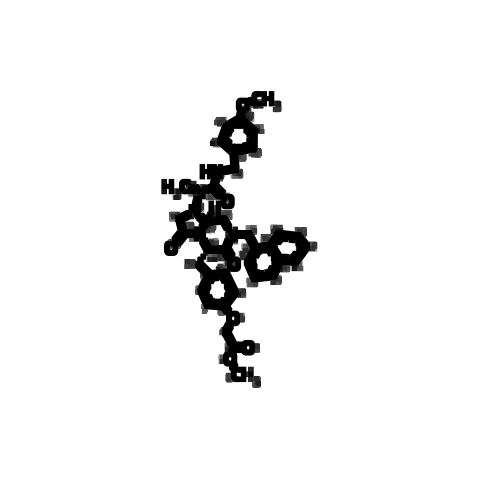 COC(=O)COc1ccc(C[C@H]2C(=O)N(Cc3cccc4ccccc34)C[C@H]3N2C(=O)CN3N(C)C(=O)NCc2ccc(OC)cc2)cc1